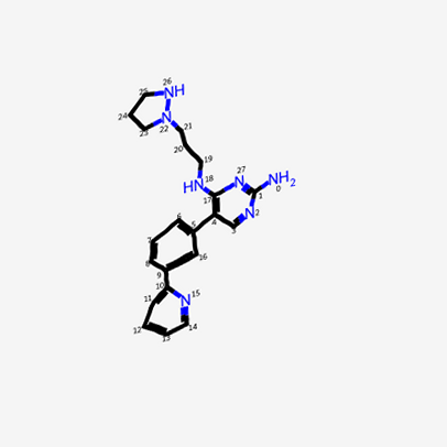 Nc1ncc(-c2cccc(-c3ccccn3)c2)c(NCCCN2CCCN2)n1